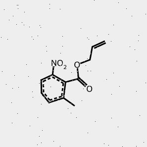 C=CCOC(=O)c1c(C)cccc1[N+](=O)[O-]